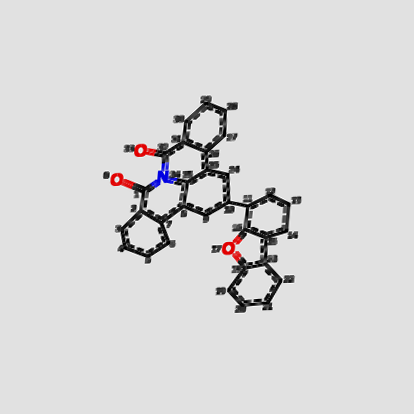 O=c1c2ccccc2c2cc(-c3cccc4c3oc3ccccc34)cc3c4ccccc4c(=O)n1c23